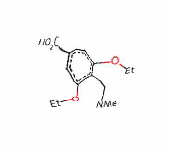 CCOc1cc(C(=O)O)cc(OCC)c1CNC